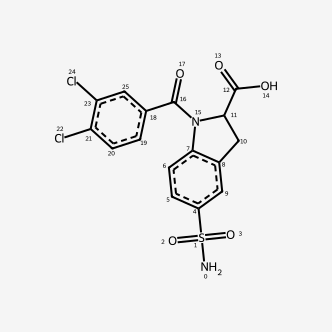 NS(=O)(=O)c1ccc2c(c1)CC(C(=O)O)N2C(=O)c1ccc(Cl)c(Cl)c1